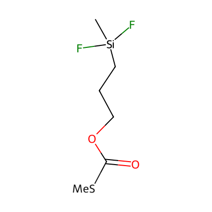 CSC(=O)OCCC[Si](C)(F)F